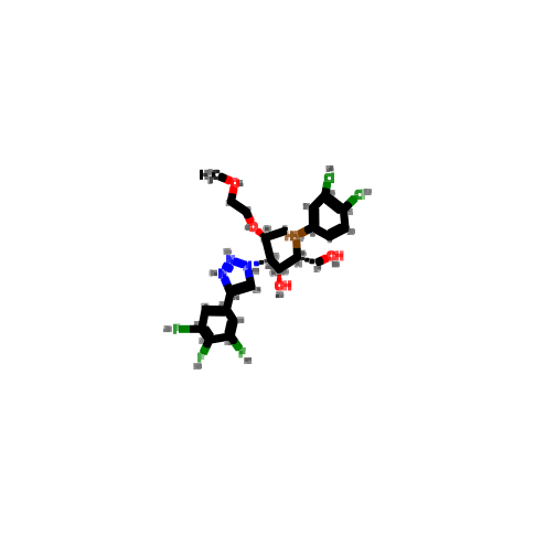 COCCO[C@H]1C[SH](c2ccc(Cl)c(Cl)c2)[C@H](CO)[C@H](O)[C@@H]1n1cc(-c2cc(F)c(F)c(F)c2)nn1